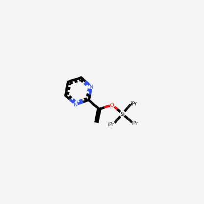 C=C(O[Si](C(C)C)(C(C)C)C(C)C)c1ncccn1